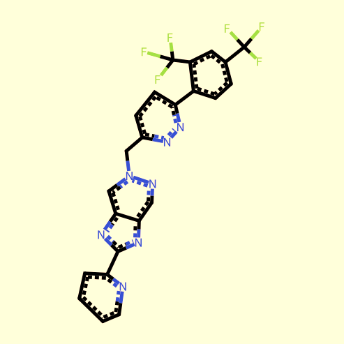 FC(F)(F)c1ccc(-c2ccc(Cn3cc4nc(-c5ccccn5)nc-4cn3)nn2)c(C(F)(F)F)c1